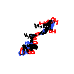 CC(C)c1cc(-c2nnc(O)n2-c2ccc3c(ccn3CCOCCN(C)C(=O)CCCC(=O)Nc3cccc4c3CN(C3CCC(=O)NC3=O)C4=O)c2)c(O)cc1O